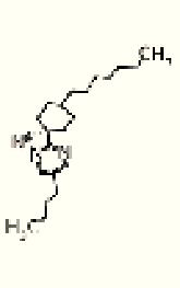 CCCCCCC[C@H]1CC[C@@](C#N)(c2ncc(CCCC)cn2)CC1